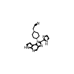 N#CC[C@H]1CC[C@H](n2c(-c3ncc[nH]3)nc3cnc4[nH]ccc4c32)CC1